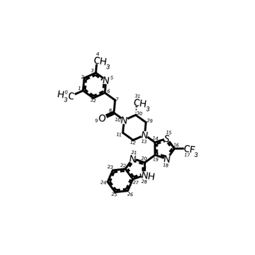 Cc1cc(C)nc(CC(=O)N2CCN(c3sc(C(F)(F)F)nc3-c3nc4ccccc4[nH]3)C[C@H]2C)c1